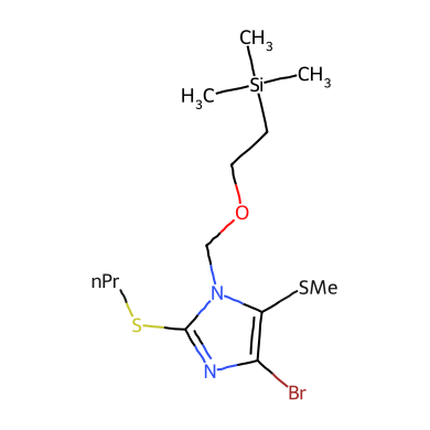 CCCSc1nc(Br)c(SC)n1COCC[Si](C)(C)C